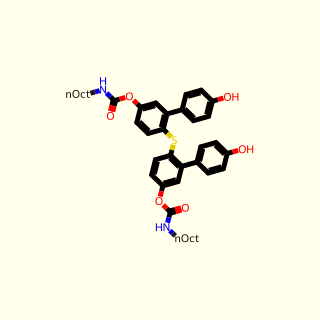 CCCCCCCCNC(=O)Oc1ccc(Sc2ccc(OC(=O)NCCCCCCCC)cc2-c2ccc(O)cc2)c(-c2ccc(O)cc2)c1